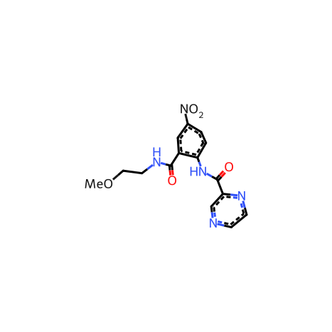 COCCNC(=O)c1cc([N+](=O)[O-])ccc1NC(=O)c1cnccn1